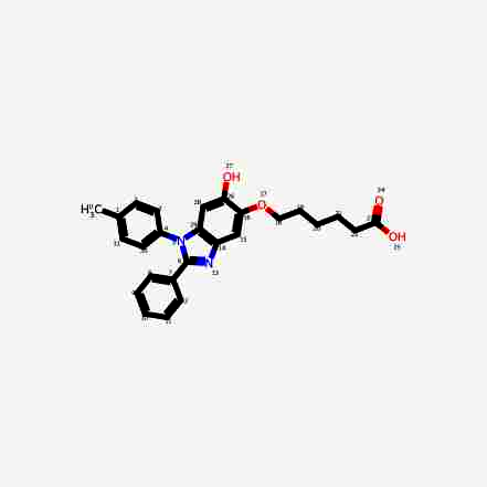 Cc1ccc(-n2c(-c3ccccc3)nc3cc(OCCCCCC(=O)O)c(O)cc32)cc1